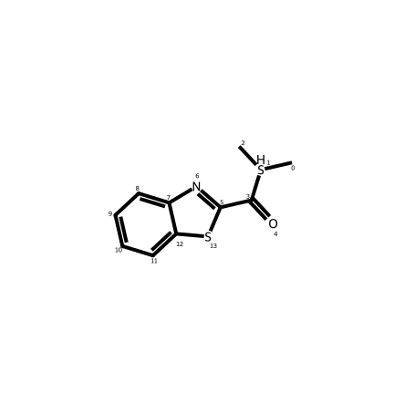 C[SH](C)C(=O)c1nc2ccccc2s1